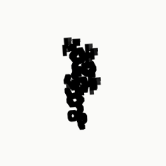 CCOC(=O)CC1CCC(CN(CC)c2ncc(C(F)(F)F)cc2CN(Cc2cc(C(F)(F)F)cc(C(F)(F)F)c2)c2ccccc2)CC1